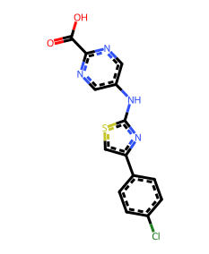 O=C(O)c1ncc(Nc2nc(-c3ccc(Cl)cc3)cs2)cn1